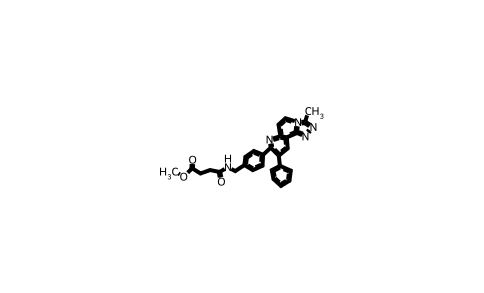 COC(=O)CCC(=O)NCc1ccc(-c2nc3ccn4c(C)nnc4c3cc2-c2ccccc2)cc1